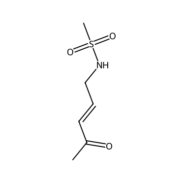 CC(=O)/C=C/CNS(C)(=O)=O